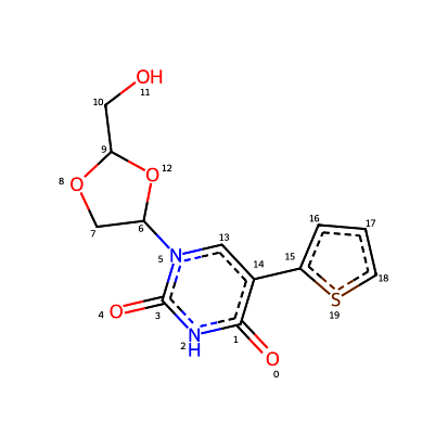 O=c1[nH]c(=O)n(C2COC(CO)O2)cc1-c1cccs1